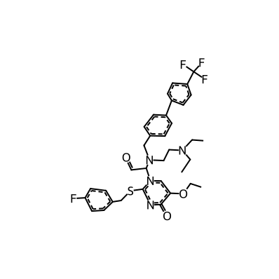 CCOc1cn(C(C=O)N(CCN(CC)CC)Cc2ccc(-c3ccc(C(F)(F)F)cc3)cc2)c(SCc2ccc(F)cc2)nc1=O